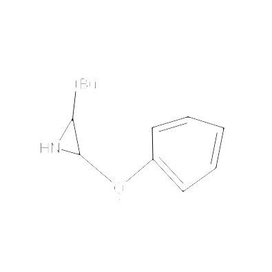 CC(C)(C)C1NC1Oc1ccccc1